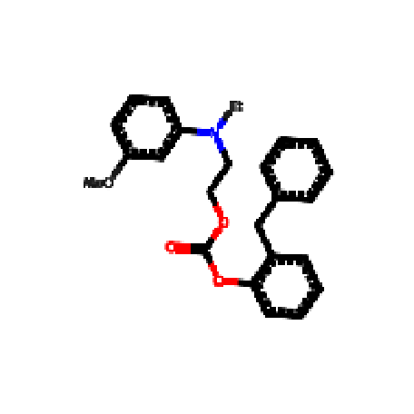 CCN(CCOC(=O)Oc1ccccc1Cc1ccccc1)c1cccc(OC)c1